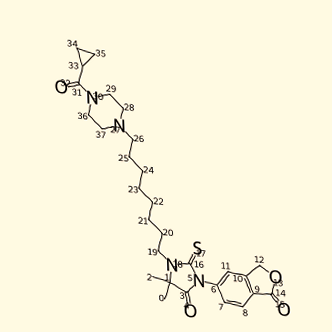 CC1(C)C(=O)N(c2ccc3c(c2)COC3=O)C(=S)N1CCCCCCCCN1CCN(C(=O)C2CC2)CC1